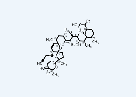 C#CCN[C@@H]1C=C[C@]2(O[C@H]([C@@H](CC)C(=O)[C@@H](C)[C@@H](O)[C@H](C)C3O[C@@H](C(CC)C(=O)O)CC[C@@H]3C)[C@@H](C)C[C@H]2C)O[C@@]12CC[C@@](C)([C@H]1CC[C@](O)(CC)[C@H](C)O1)O2